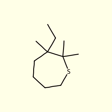 CCC1(C)CCCCSC1(C)C